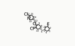 Fc1cccc(Cc2ccc(OCc3ccc(Cl)nc3)c(Cl)c2)c1